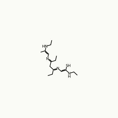 CCN/C(S)=C/N=C(\CC)C/C(CC)=N/C=C(\C)NCC